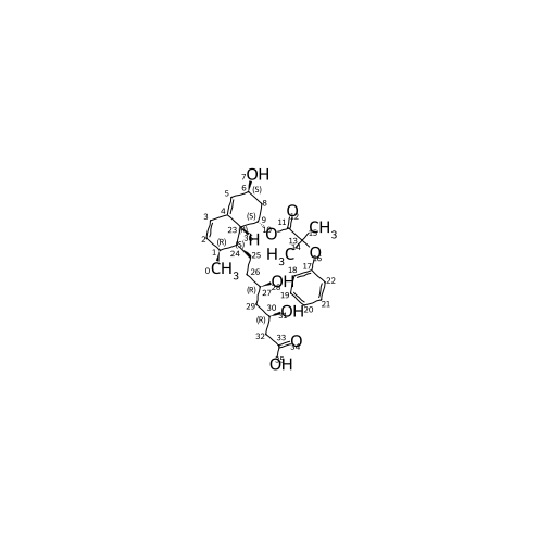 C[C@H]1C=CC2=C[C@@H](O)C[C@H](OC(=O)C(C)(C)Oc3ccccc3)[C@@H]2[C@H]1CC[C@@H](O)C[C@@H](O)CC(=O)O